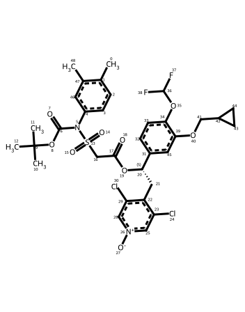 Cc1ccc(N(C(=O)OC(C)(C)C)S(=O)(=O)CC(=O)O[C@@H](Cc2c(Cl)c[n+]([O-])cc2Cl)c2ccc(OC(F)F)c(OCC3CC3)c2)cc1C